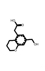 O=C(O)Cc1cc(CO)cc2c1CCCO2